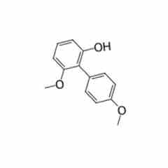 COc1ccc(-c2c(O)cccc2OC)cc1